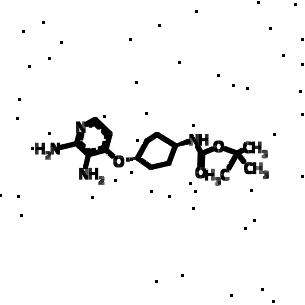 CC(C)(C)OC(=O)N[C@H]1CC[C@H](Oc2ccnc(N)c2N)CC1